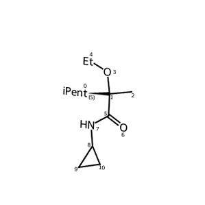 CCC[C@H](C)C(C)(OCC)C(=O)NC1CC1